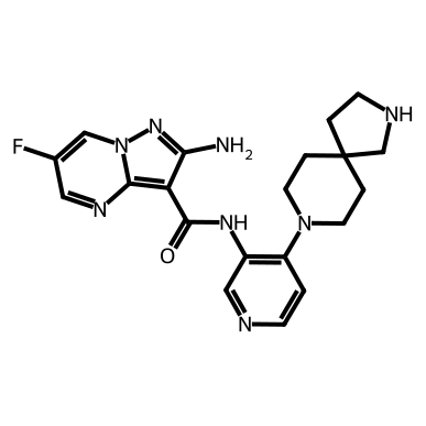 Nc1nn2cc(F)cnc2c1C(=O)Nc1cnccc1N1CCC2(CCNC2)CC1